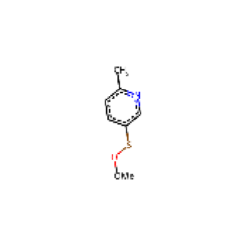 COOSc1ccc(C)nc1